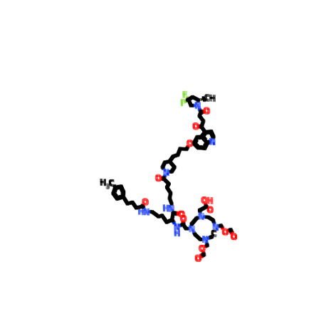 C#C[C@H]1CC(F)(F)CN1C(=O)CCC(=O)c1ccnc2ccc(OCCCCC3CCN(C(=O)CCCCCNC(=O)C(CCCCNC(=O)CCCc4ccc(C)cc4)NC(=O)CN4CCN(COC=O)CCN(COC=O)CCN(CC(=O)O)CC4)CC3)cc12